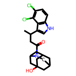 CC(CC(=O)N1CC2CC3CC1CC(O)(C3)C2)c1c[nH]c2ccc(Cl)c(Cl)c12